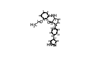 CCOc1cccc(NC2CCN(c3ccc(-c4cn[nH]c4)cc3)C2=O)c1